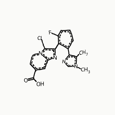 Cc1c(-c2cccc(F)c2-c2nc3cc(C(=O)O)ccn3c2Cl)ncn1C